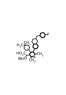 Cc1nc(C)c([C@H](OC(C)(C)C)C(=O)O)c(N2CCC(C)(C)CC2)c1-c1ccc2c(c1)CCC(Cc1ccc(F)cc1)C2